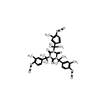 Cc1cc(C(C)(C)n2c(=O)n(C(C)(C)c3ccc(N=C=O)c(C)c3)c(=O)n(C(C)(C)c3ccc(N=C=O)c(C)c3)c2=O)ccc1N=C=O